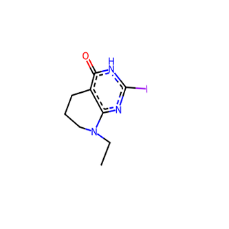 CCN1CCCc2c1nc(I)[nH]c2=O